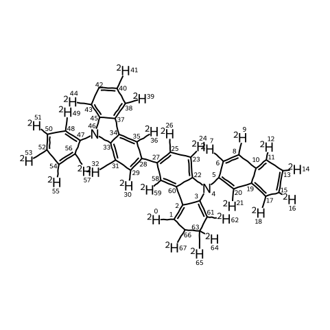 [2H]C1=c2c(n(-c3c([2H])c([2H])c4c([2H])c([2H])c([2H])c([2H])c4c3[2H])c3c([2H])c([2H])c(-c4c([2H])c([2H])c5c(c4[2H])c4c([2H])c([2H])cc([2H])c4n5-c4c([2H])c([2H])c([2H])c([2H])c4[2H])c([2H])c23)=C([2H])C([2H])([2H])C1[2H]